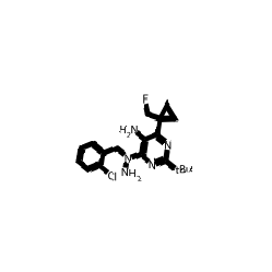 CC(C)(C)c1nc(N(N)Cc2ccccc2Cl)c(N)c(C2(CF)CC2)n1